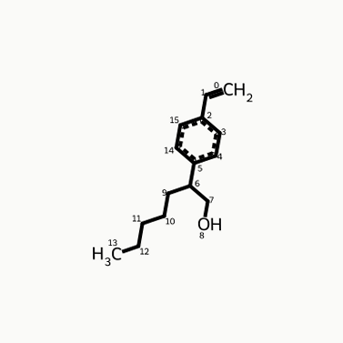 C=Cc1ccc(C(CO)CCCCC)cc1